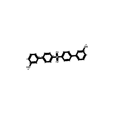 O=S(=O)(c1ccc(-c2cccc(O)c2)cc1)c1ccc(-c2cccc(O)c2)cc1